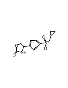 O=C1NC(c2ccc(S(=O)(=O)CC3CC3)cc2)CO1